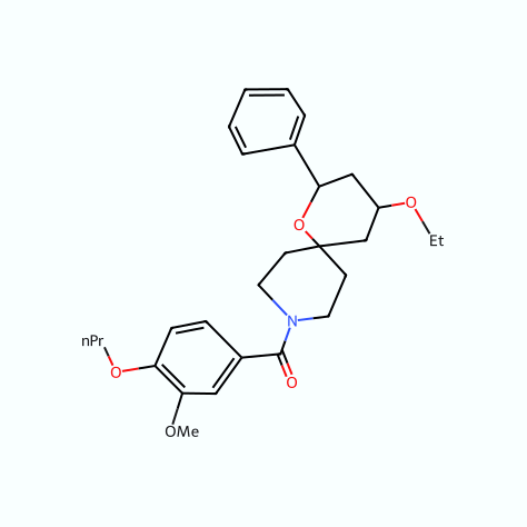 CCCOc1ccc(C(=O)N2CCC3(CC2)CC(OCC)CC(c2ccccc2)O3)cc1OC